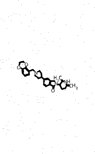 C=C1CCC(N2Cc3cc(C4CCN(Cc5cccc6c5OCCO6)CC4)ccc3C2=O)C(=C)N1